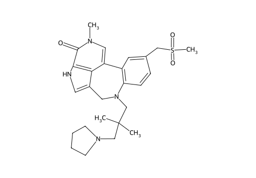 Cn1cc2c3c(c[nH]c3c1=O)CN(CC(C)(C)CN1CCCC1)c1ccc(CS(C)(=O)=O)cc1-2